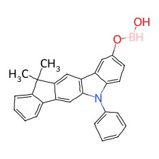 CC1(C)c2ccccc2-c2cc3c(cc21)c1cc(OBO)ccc1n3-c1ccccc1